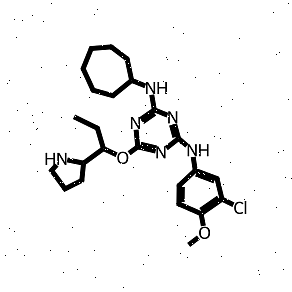 CCC(Oc1nc(Nc2ccc(OC)c(Cl)c2)nc(NC2CCCCCC2)n1)C1CCCN1